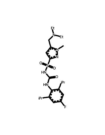 CCN(CC)Cc1cc(S(=O)(=O)NC(=O)Nc2c(C(C)C)cc(F)cc2C(C)C)nn1C